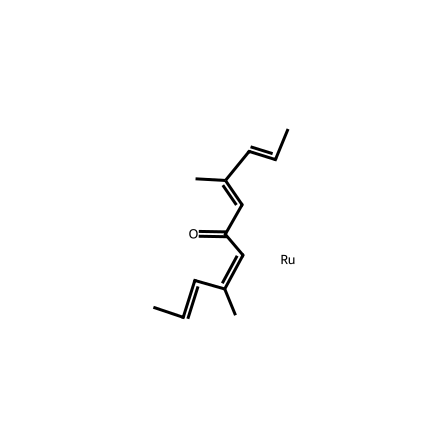 CC=CC(C)=CC(=O)C=C(C)C=CC.[Ru]